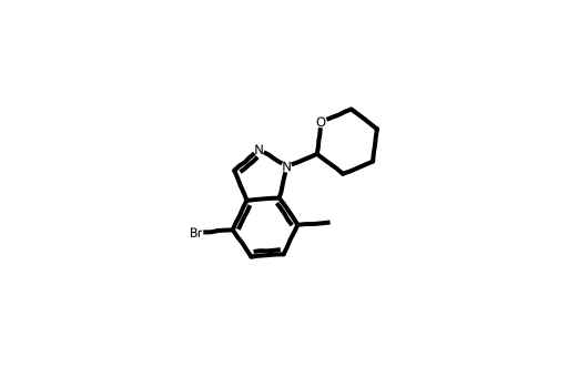 Cc1ccc(Br)c2cnn(C3CCCCO3)c12